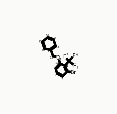 FC(F)(F)c1c(Br)cccc1OCc1ccccc1